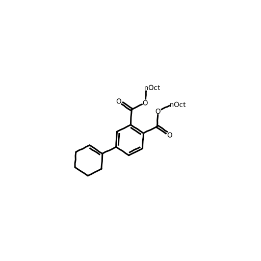 CCCCCCCCOC(=O)c1ccc(C2=CCCCC2)cc1C(=O)OCCCCCCCC